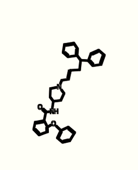 O=C(NC1CCN(CC=CCC(c2ccccc2)c2ccccc2)CC1)c1ccccc1Oc1ccccc1